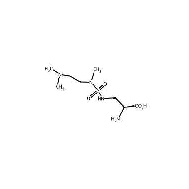 CN(C)CCN(C)S(=O)(=O)NC[C@H](N)C(=O)O